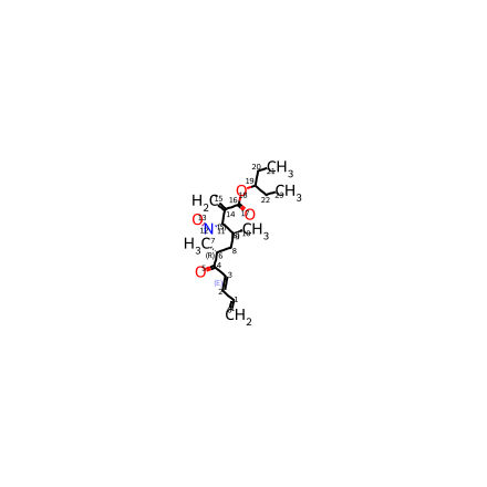 C=C/C=C/C(=O)[C@H](C)C[C@H](C)[C@H](N=O)C(=C)C(=O)OC(CC)CC